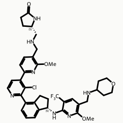 COc1nc(-c2ccnc(-c3cccc4c3CC[C@@H]4Nc3nc(OC)c(CNC4CCOCC4)cc3C(F)(F)F)c2Cl)ccc1CNC[C@@H]1CCC(=O)N1